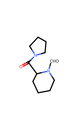 O=[C]N1CCCCC1C(=O)N1CCCC1